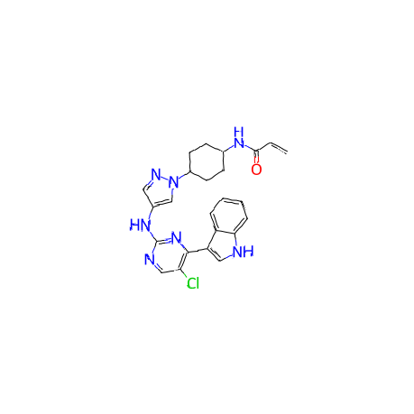 C=CC(=O)NC1CCC(n2cc(Nc3ncc(Cl)c(-c4c[nH]c5ccccc45)n3)cn2)CC1